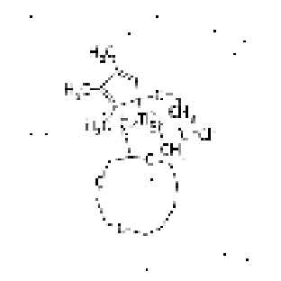 CC1=C[C](C)([Ti+2]([NH]C2CCCCCCCCCCC2)=[Si](C)C)C(C)=C1C.[Cl-].[Cl-]